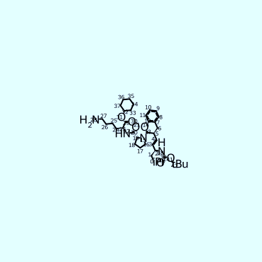 CC(C)C[C@@H](/C=C/[C@H](Cc1ccccc1)C(=O)N1CCC[C@@H]1C(=O)N[C@@H](CCCCN)C(=O)OC1CCCCC1)NC(=O)OC(C)(C)C